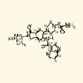 CC(C)(O)CCN1Cc2cc(NC(=O)c3cnn4cccnc34)c(N3CCN(CC(N)=O)CC3)cc2C1=O